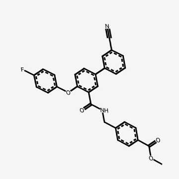 COC(=O)c1ccc(CNC(=O)c2cc(-c3cccc(C#N)c3)ccc2Oc2ccc(F)cc2)cc1